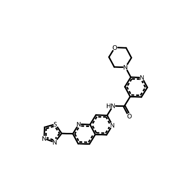 O=C(Nc1cc2nc(-c3nncs3)ccc2cn1)c1ccnc(N2CCOCC2)c1